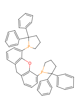 c1ccc(C2(c3ccccc3)CCCP2c2cccc3c2Oc2c(cccc2P2CCCC2(c2ccccc2)c2ccccc2)C3)cc1